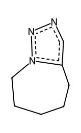 c1nnn2c1CCCCC2